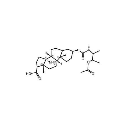 CC(=O)OC(C)C(C)NC(=O)OC1CC[C@@]2(C)C(CC[C@@H]3[C@H]2CC[C@]2(C)C(C(=O)O)CC[C@@]32N)C1